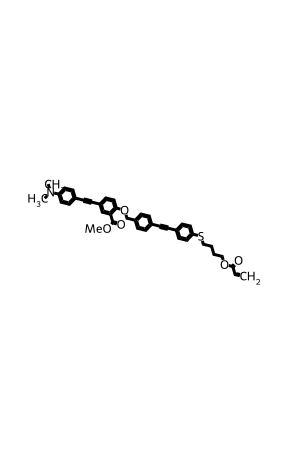 C=CC(=O)OCCCCSc1ccc(C#Cc2ccc(COc3ccc(C#Cc4ccc(N(C)C)cc4)cc3C(=O)OC)cc2)cc1